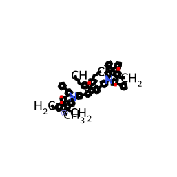 C=CC1=C(/C=C\C)C(c2ccccc2)(c2ccc(C=C)cc2)c2cc(N(c3ccc(-c4ccccc4)cc3)c3ccc(-c4ccc5c(c4)C(c4ccc(CCCC)cc4)(c4ccc(CCCC)cc4)c4cc(-c6ccc(N(c7ccc(-c8ccccc8)cc7)c7ccc8c(c7)C(c7ccccc7)(c7ccc(C=C)cc7)c7ccccc7-8)cc6)ccc4-5)cc3)ccc21